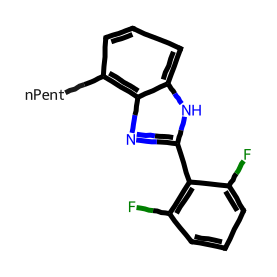 CCCCCc1cccc2[nH]c(-c3c(F)cccc3F)nc12